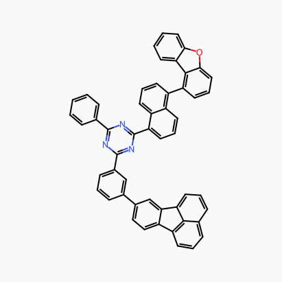 c1ccc(-c2nc(-c3cccc(-c4ccc5c(c4)-c4cccc6cccc-5c46)c3)nc(-c3cccc4c(-c5cccc6oc7ccccc7c56)cccc34)n2)cc1